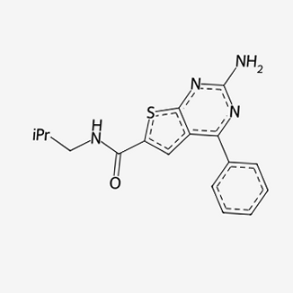 CC(C)CNC(=O)c1cc2c(-c3ccccc3)nc(N)nc2s1